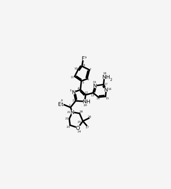 CCC(c1nc(-c2ccc(F)cc2)c(-c2ccnc(N)n2)[nH]1)N1CCOC(C)(C)C1